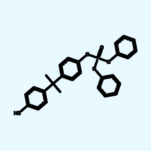 CC(C)(c1ccc(O)cc1)c1ccc(OP(=O)(Oc2ccccc2)Oc2ccccc2)cc1